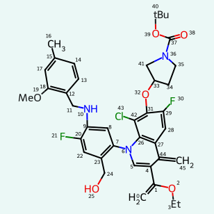 C=C(OCC)C1=CN(c2cc(NCc3ccc(C)cc3OC)c(F)cc2CO)c2c(cc(F)c(OC3CCN(C(=O)OC(C)(C)C)C3)c2Cl)C1=C